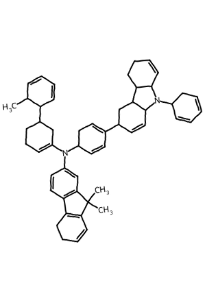 CC1C=CC=CC1C1CCC=C(N(c2ccc3c(c2)C(C)(C)C2=C3CCC=C2)C2C=CC(C3C=CC4C(C3)C3CCC=CC3N4C3C=CC=CC3)=CC2)C1